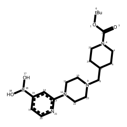 CC(C)(C)OC(=O)N1CCC(CN2CCN(c3cc(B(O)O)ccn3)CC2)CC1